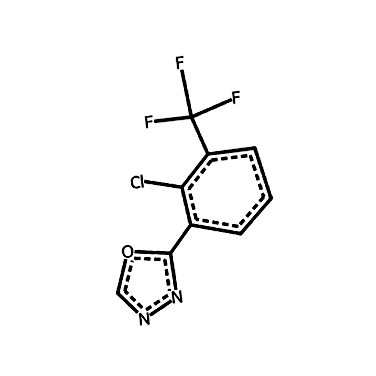 FC(F)(F)c1cccc(-c2nnco2)c1Cl